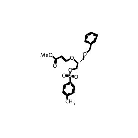 COC(=O)C=CO[C@H](COCc1ccccc1)COS(=O)(=O)c1ccc(C)cc1